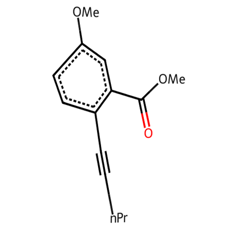 CCCC#Cc1ccc(OC)cc1C(=O)OC